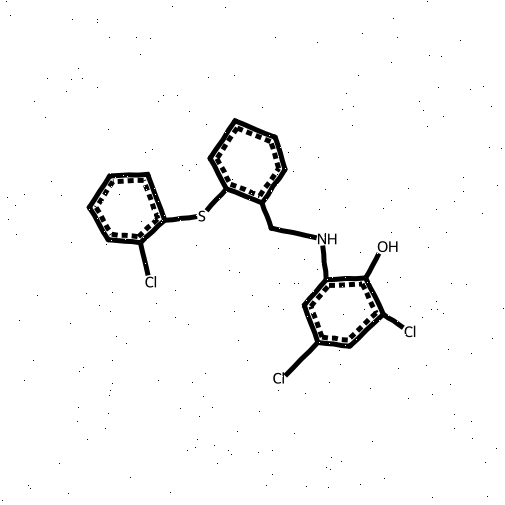 Oc1c(Cl)cc(Cl)cc1NCc1ccccc1Sc1ccccc1Cl